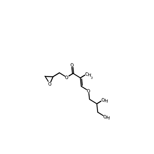 CC(=COCC(O)CO)C(=O)OCC1CO1